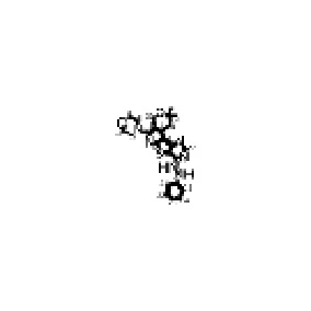 CC1(C)Cc2c(c(N3CCOCC3)nc3sc4c(NNc5ccccc5)ncnc4c23)CO1